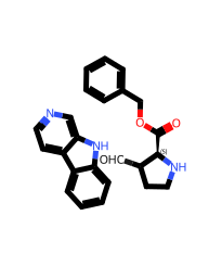 O=CC1CCN[C@@H]1C(=O)OCc1ccccc1.c1ccc2c(c1)[nH]c1cnccc12